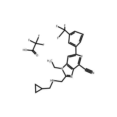 CCn1c(CNCC2CC2)nc2c(C#N)nc(-c3cccc(C(F)(F)F)c3)cc21.O=C(O)C(F)(F)F